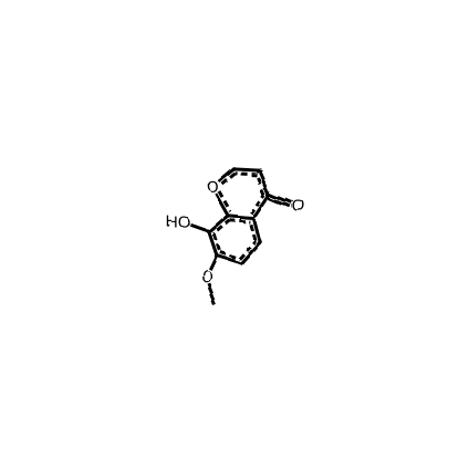 COc1ccc2c(=O)ccoc2c1O